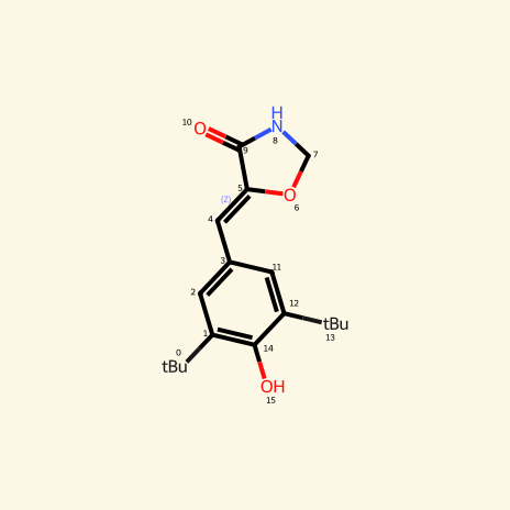 CC(C)(C)c1cc(/C=C2\OCNC2=O)cc(C(C)(C)C)c1O